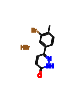 Br.Cc1ccc(-c2ccc(=O)[nH]n2)cc1Br